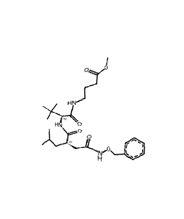 COC(=O)CCCNC(=O)[C@@H](NC(=O)[C@@H](CC(=O)NOCc1ccccc1)CC(C)C)C(C)(C)C